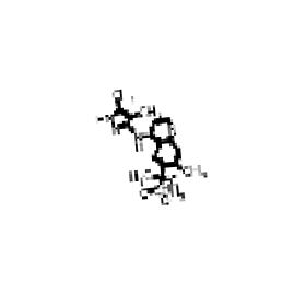 Cc1cc2nccc(Nc3n[nH]c(C)c3C)c2cc1C(C)(C)[SH](=O)=O